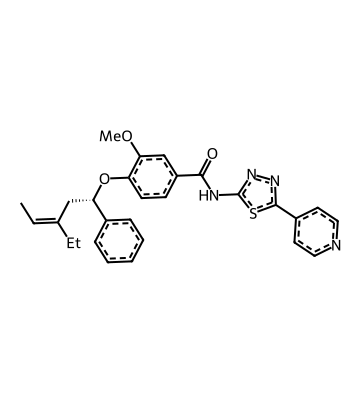 C/C=C(/CC)C[C@H](Oc1ccc(C(=O)Nc2nnc(-c3ccncc3)s2)cc1OC)c1ccccc1